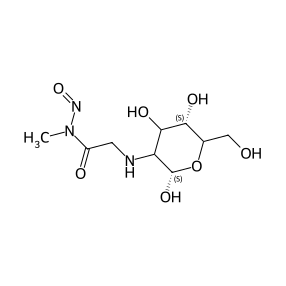 CN(N=O)C(=O)CNC1C(O)[C@H](O)C(CO)O[C@@H]1O